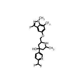 CC1CC(O)(c2ccc(C(F)F)nc2)CC(COc2cc(C(F)(F)F)c3c(c2)c(F)nn3C)N1